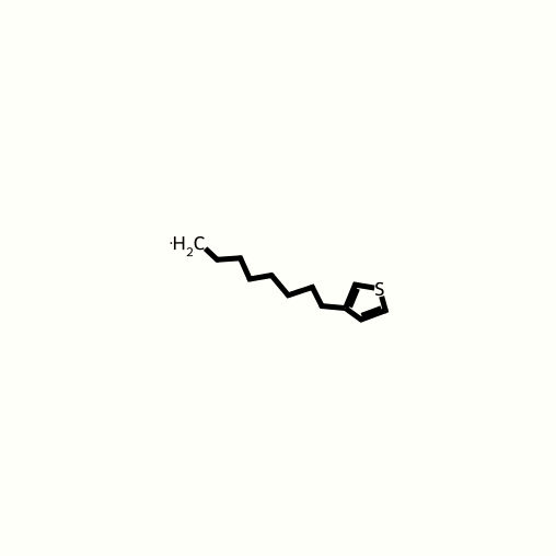 [CH2]CCCCCCCc1ccsc1